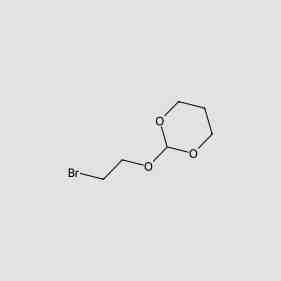 BrCCOC1OCCCO1